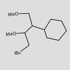 CCC(C)CC(OC)C(COC)C1CCCCC1